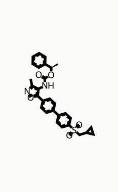 Cc1noc(-c2ccc(-c3ccc(S(=O)(=O)CC4CC4)cc3)cc2)c1NC(=O)O[C@H](C)c1ccccc1